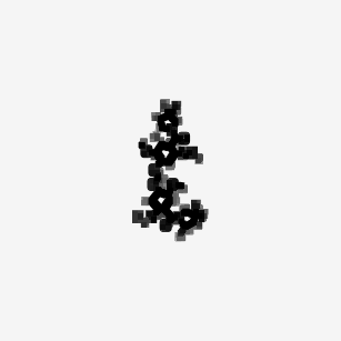 COc1cc(C(=O)N2CC(F)(F)C[C@H]2C)c(N)cc1OCOc1cc(N)c(C(=O)N2CC(F)(F)C[C@H]2C)cc1OC